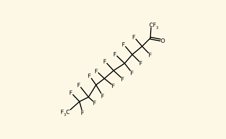 O=C(C(F)(F)F)C(F)(F)C(F)(F)C(F)(F)C(F)(F)C(F)(F)C(F)(F)C(F)(F)C(F)(F)C(F)(F)F